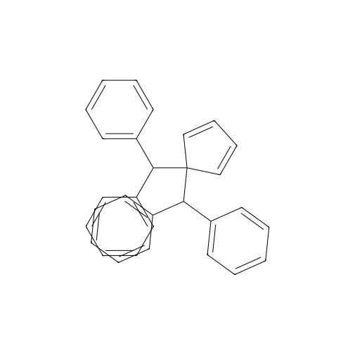 C1=CC(C(c2ccccc2)c2ccccc2)(C(c2ccccc2)c2ccccc2)C=C1